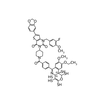 CCOc1cc2c(cc1OC)C(c1ccc(C(=O)N3CCC(n4c(=O)c5sc(-c6ccc7c(c6)OCO7)cc5n(Cc5ccc(OC)c(F)c5)c4=O)CC3)cc1)=N[C@]1(S)C(S)=C(S)OC(S)[C@@]21S